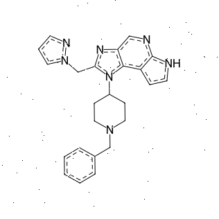 c1ccc(CN2CCC(n3c(Cn4cccn4)nc4cnc5[nH]ccc5c43)CC2)cc1